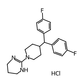 Cl.Fc1ccc(C(c2ccc(F)cc2)C2CCN(C3=NCCCN3)CC2)cc1